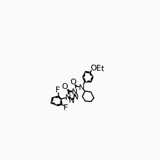 CCOc1ccc(N(C(=O)n2nnn(-c3c(F)cccc3F)c2=O)C2CCCCC2)cc1